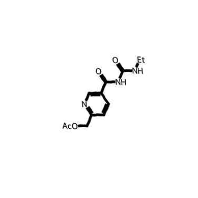 CCNC(=O)NC(=O)c1ccc(COC(C)=O)nc1